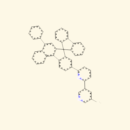 N#Cc1cncc(-c2cccc(-c3ccc4c(c3)C3(c5ccccc5-c5ccccc53)c3cc(-c5ccccc5)c5ccccc5c3-4)n2)c1